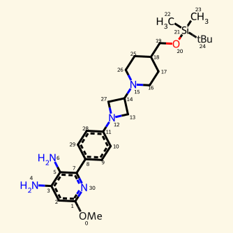 COc1cc(N)c(N)c(-c2ccc(N3CC(N4CCC(CO[Si](C)(C)C(C)(C)C)CC4)C3)cc2)n1